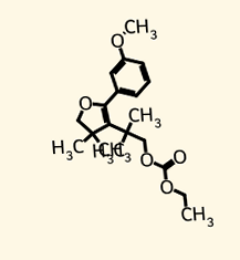 CCOC(=O)OCC(C)(C)C1=C(c2cccc(OC)c2)OCC1(C)C